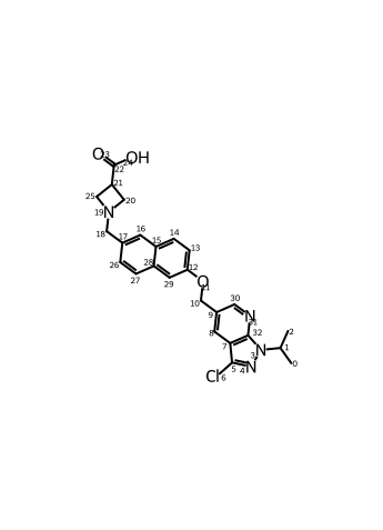 CC(C)n1nc(Cl)c2cc(COc3ccc4cc(CN5CC(C(=O)O)C5)ccc4c3)cnc21